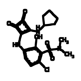 CN(C)S(=O)(=O)c1c(Cl)ccc(Nc2c(NC3CCCC3)c(=O)c2=O)c1O